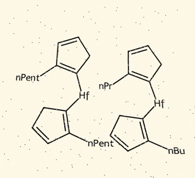 CCCCC1=[C]([Hf][C]2=C(CCC)C=CC2)CC=C1.CCCCCC1=[C]([Hf][C]2=C(CCCCC)C=CC2)CC=C1